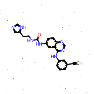 C#Cc1cccc(Nc2ncnc3ccc(NC(=O)NCCc4cnc[nH]4)cc23)c1